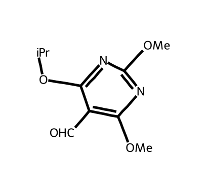 COc1nc(OC)c(C=O)c(OC(C)C)n1